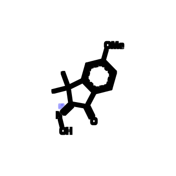 COc1ccc2c(c1)C(C)(C)/C(=N/O)C2=O